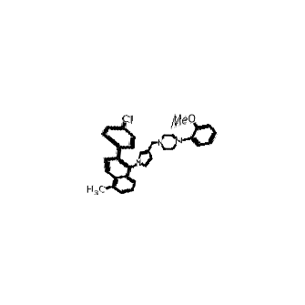 COc1ccccc1N1CCN(Cc2ccn(-c3c(-c4ccc(Cl)cc4)ccc4c(C)cccc34)c2)CC1